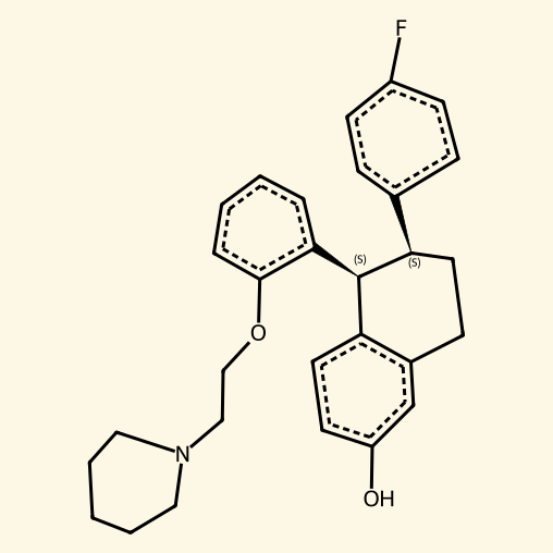 Oc1ccc2c(c1)CC[C@H](c1ccc(F)cc1)[C@@H]2c1ccccc1OCCN1CCCCC1